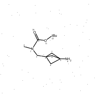 CN(CC12CC(N)(C1)C2)C(=O)OC(C)(C)C